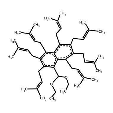 CCOC(OCC)c1c(CC=C(C)C)c(CC=C(C)C)c(CC=C(C)C)c2c(CC=C(C)C)c(CC=C(C)C)c(CC=C(C)C)c(CC=C(C)C)c12